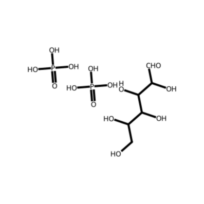 O=CC(O)C(O)C(O)C(O)CO.O=P(O)(O)O.O=P(O)(O)O